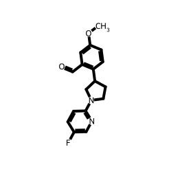 COc1ccc(C2CCN(c3ccc(F)cn3)C2)c(C=O)c1